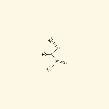 C=CC(O)C(C)=O